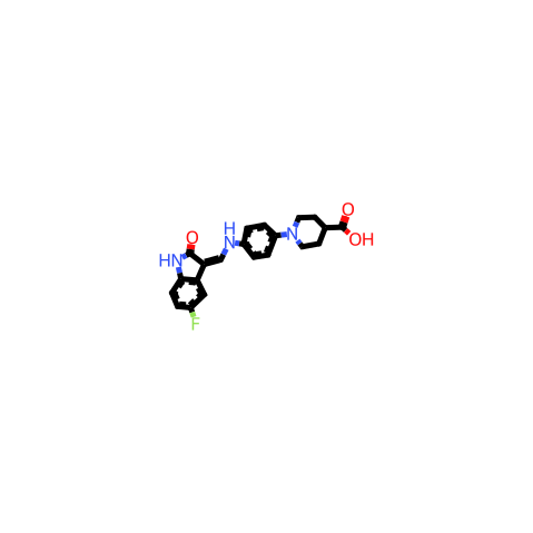 O=C1Nc2ccc(F)cc2C1=CNc1ccc(N2CCC(C(=O)O)CC2)cc1